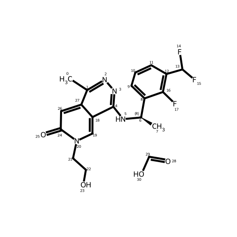 Cc1nnc(N[C@H](C)c2cccc(C(F)F)c2F)c2cn(CCO)c(=O)cc12.O=CO